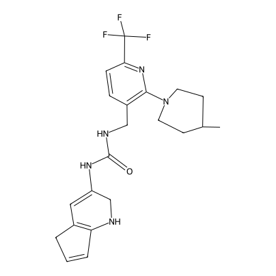 CC1CCN(c2nc(C(F)(F)F)ccc2CNC(=O)NC2=CC3=C(C=CC3)NC2)CC1